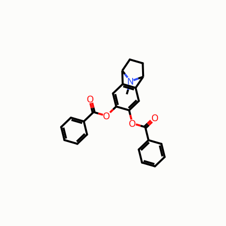 CN1C2CCC1c1cc(OC(=O)c3ccccc3)c(OC(=O)c3ccccc3)cc12